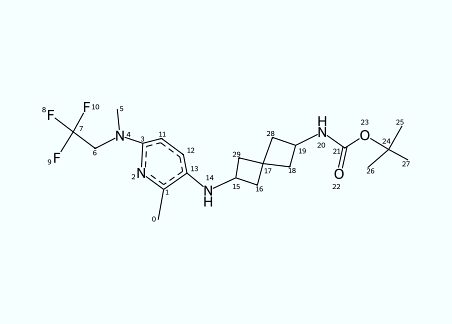 Cc1nc(N(C)CC(F)(F)F)ccc1NC1CC2(CC(NC(=O)OC(C)(C)C)C2)C1